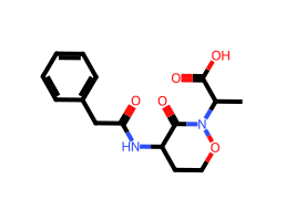 CC(C(=O)O)N1OCCC(NC(=O)Cc2ccccc2)C1=O